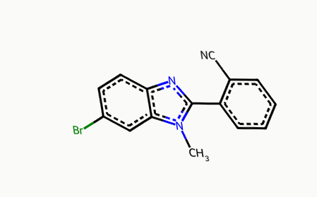 Cn1c(-c2ccccc2C#N)nc2ccc(Br)cc21